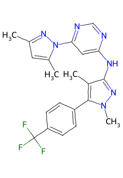 Cc1cc(C)n(-c2cc(Nc3nn(C)c(-c4ccc(C(F)(F)F)cc4)c3C)ncn2)n1